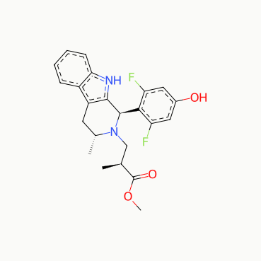 COC(=O)[C@@H](C)CN1[C@H](c2c(F)cc(O)cc2F)c2[nH]c3ccccc3c2C[C@H]1C